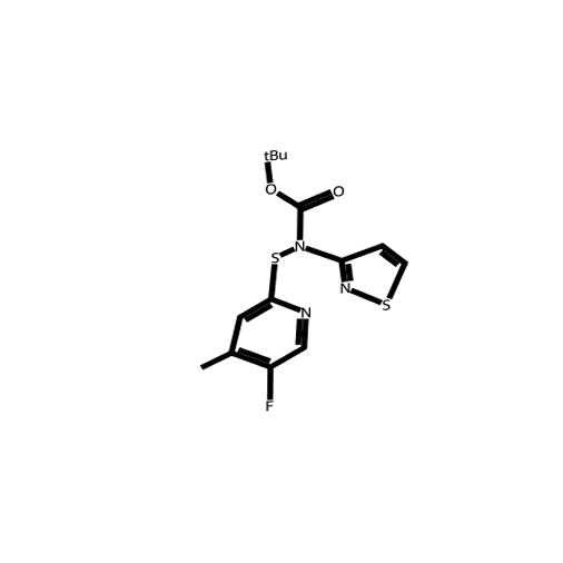 Cc1cc(SN(C(=O)OC(C)(C)C)c2ccsn2)ncc1F